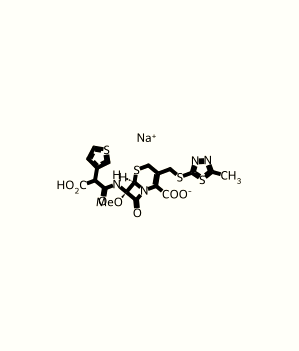 CO[C@@]1(NC(=O)C(C(=O)O)c2ccsc2)C(=O)N2C(C(=O)[O-])=C(CSc3nnc(C)s3)CS[C@@H]21.[Na+]